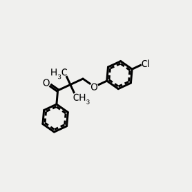 CC(C)(COc1ccc(Cl)cc1)C(=O)c1ccccc1